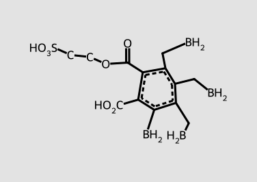 BCc1c(B)c(C(=O)O)c(C(=O)OCCS(=O)(=O)O)c(CB)c1CB